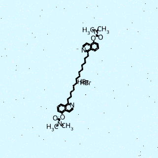 Br.Br.CN(C)C(=O)Oc1cccc2c(CCCCCCCCCCCCCCc3nccc4c(OC(=O)N(C)C)cccc34)nccc12